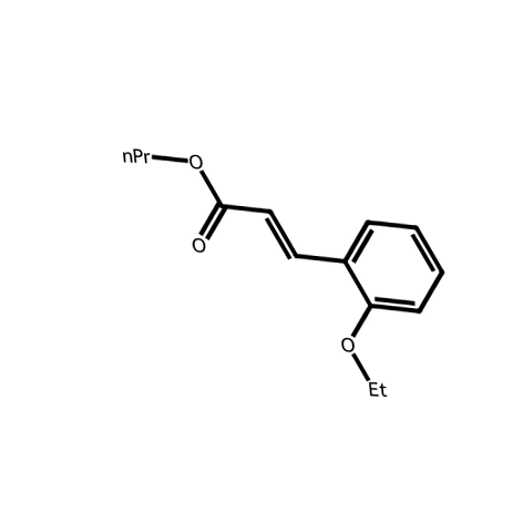 CCCOC(=O)/C=C/c1ccccc1OCC